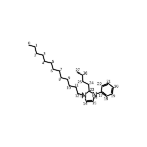 CCCCCCCCCCCCCN1C=CN(c2ccccc2)C1CCCC